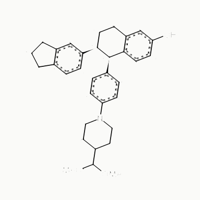 COC(OC)C1CCN(c2ccc([C@@H]3c4ccc(O)cc4CC[C@@H]3c3ccc4c(c3)CCC4)cc2)CC1